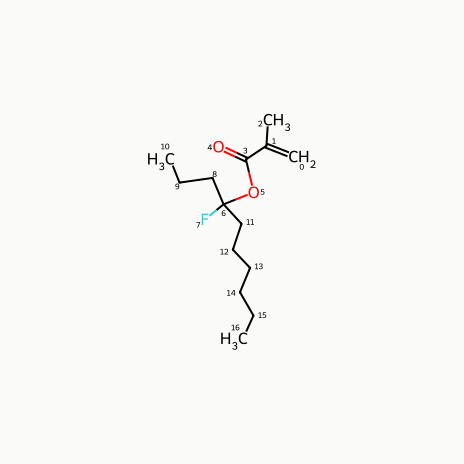 C=C(C)C(=O)OC(F)(CCC)CCCCCC